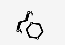 C1COCCO1.C=CC=C